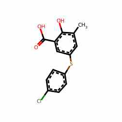 Cc1cc(Sc2ccc(Cl)cc2)cc(C(=O)O)c1O